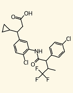 CC(C(C(=O)Nc1cc(C(CC(=O)O)C2CC2)ccc1Cl)c1ccc(Cl)cc1)C(F)(F)F